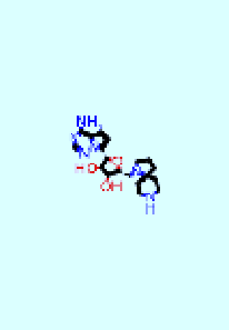 Nc1ncnn2c([C@@H]3O[C@H](CN4CCCC45CCNCC5)[C@@H](O)[C@H]3O)ccc12